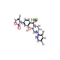 COc1cc(N2C(=O)OC[C@H]2C)ccc1C(=O)N1CCN(c2ncc(C)cc2C)CC1.Cl